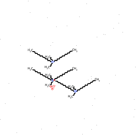 CCCCCCCCCCCCCCCC[N+](CCCC)(CCCC)CCCCCCCCCCCCCCCC.CCCCCCCCCCCCCCCC[N+](CCCC)(CCCC)CCCCCCCCCCCCCCCC.CCCCCCCCCCCCCCCC[N+](CCCC)(CCCC)CCCCCCCCCCCCCCCC.[O-]B([O-])[O-]